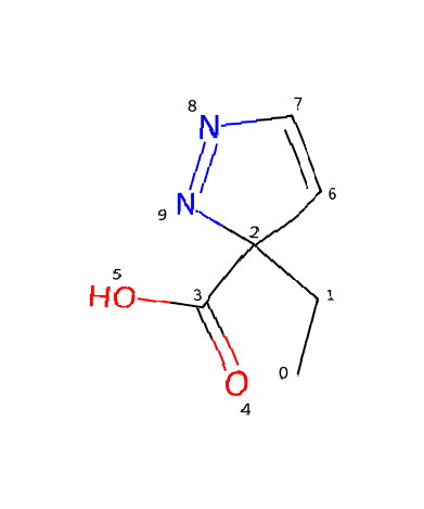 CCC1(C(=O)O)C=CN=N1